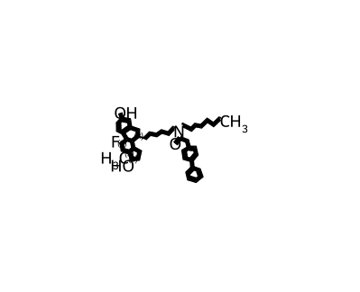 CCCCCCCCN(CCCCCC[C@@H]1Cc2cc(O)ccc2C2C1C1CC[C@H](O)[C@@]1(C)C[C@@H]2F)C(=O)Cc1ccc(-c2ccccc2)cc1